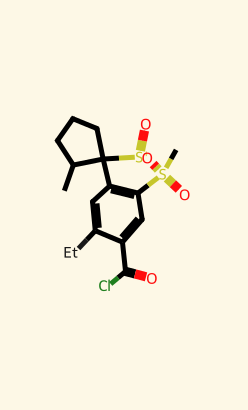 CCc1cc(C2([S+]=O)CCCC2C)c(S(C)(=O)=O)cc1C(=O)Cl